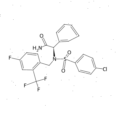 NC(=O)[C@@H](c1ccccc1)N(Cc1ccc(F)cc1C(F)(F)F)S(=O)(=O)c1ccc(Cl)cc1